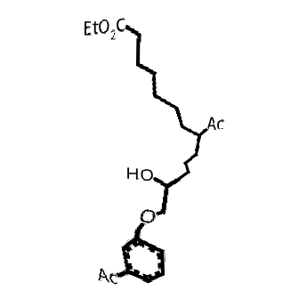 CCOC(=O)CCCCCCC(CCCC(O)COc1cccc(C(C)=O)c1)C(C)=O